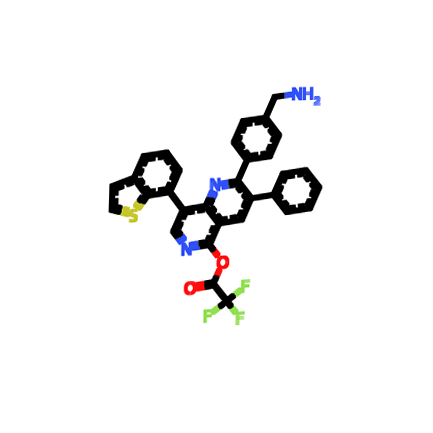 NCc1ccc(-c2nc3c(-c4cccc5ccsc45)cnc(OC(=O)C(F)(F)F)c3cc2-c2ccccc2)cc1